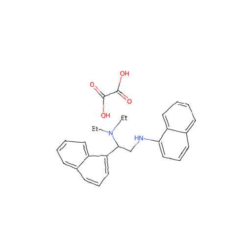 CCN(CC)C(CNc1cccc2ccccc12)c1cccc2ccccc12.O=C(O)C(=O)O